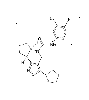 O=C(Nc1ccc(F)c(Cl)c1)N1Cc2c(N3CCCS3)cnn2[C@H]2CCC[C@H]21